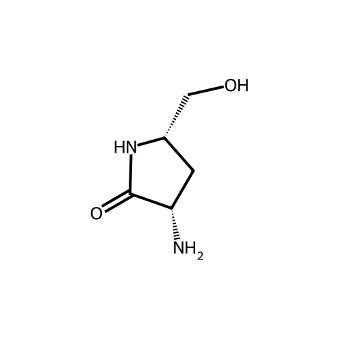 N[C@H]1C[C@@H](CO)NC1=O